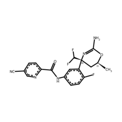 C[C@H]1C[C@@](c2cc(NC(=O)c3ccc(C#N)cn3)ccc2F)(C(F)F)N=C(N)O1